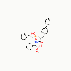 COC(=O)[C@@H](NC(=O)[C@@H](Cc1ccc(-c2ccccc2)cc1)CP(=O)(O)CCc1ccccc1)C1CCCCC1